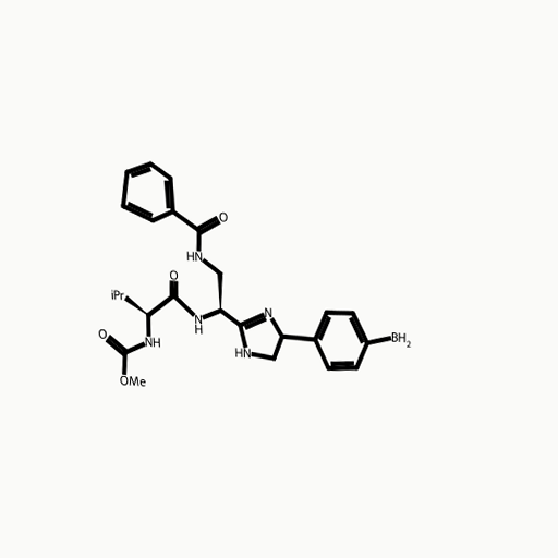 Bc1ccc(C2CNC([C@H](CNC(=O)c3ccccc3)NC(=O)[C@@H](NC(=O)OC)C(C)C)=N2)cc1